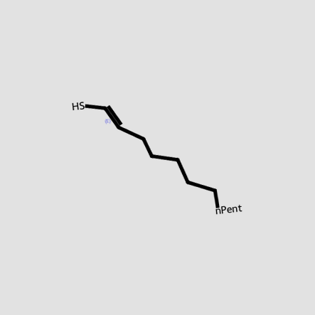 CCCCCCCCCC/C=C/S